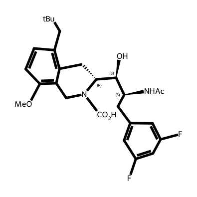 COc1ccc(CC(C)(C)C)c2c1CN(C(=O)O)[C@@H]([C@@H](O)[C@H](Cc1cc(F)cc(F)c1)NC(C)=O)C2